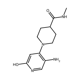 CNC(=O)C1CCN(c2cc(O)ncc2N)CC1